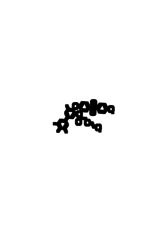 COCCOCC(=O)Oc1cc(-c2cc(C)c(C)c(C)c2)cc(C)c1Oc1ccc(S(=O)(=O)c2ccc(OC)cc2)cc1